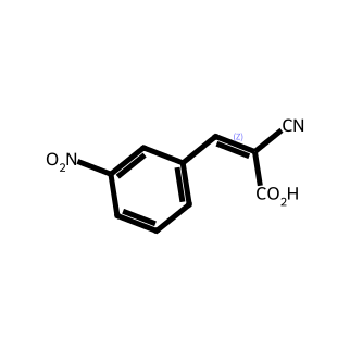 N#C/C(=C/c1cccc([N+](=O)[O-])c1)C(=O)O